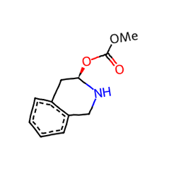 COC(=O)O[C@@H]1Cc2ccccc2CN1